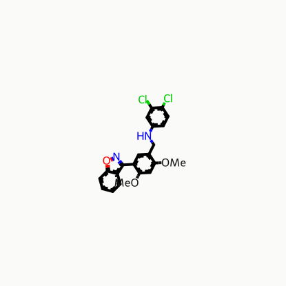 COc1cc(OC)c(-c2noc3ccccc23)cc1CNc1ccc(Cl)c(Cl)c1